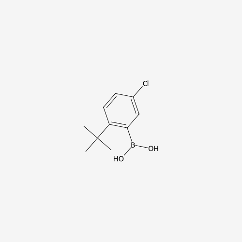 CC(C)(C)c1ccc(Cl)cc1B(O)O